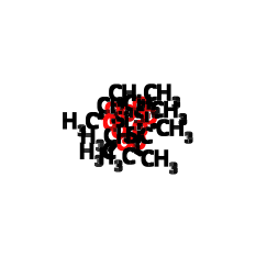 CC(C)O[Si]1(OC(C)C)O[Si](OC(C)C)(OC(C)C)O[Si](OC(C)C)(OC(C)C)O1